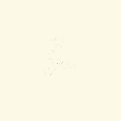 COc1cccc(S(=O)(=O)N(c2ccc(C)cc2)C2CCN(Cc3ccccc3)CC2)c1